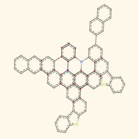 C1=CC(c2ccccc2)=C(N(c2cccc(-c3ccc4sc5ccccc5c4c3)c2)c2cc(-c3ccc4ccccc4c3)ccc2-c2cccc(-c3cccc(-c4ccc(-c5ccc6ccccc6c5)cc4N(c4ccccc4-c4ccccc4)c4ccccc4-c4cccc5c4sc4ccccc45)c3)c2)CC1